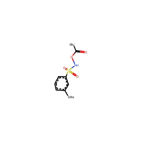 CSc1cccc(S(=O)(=O)NOC(=O)C(C)(C)C)c1